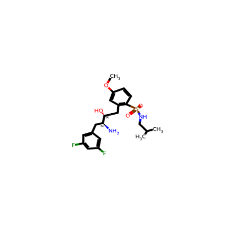 COc1ccc(S(=O)(=O)NCC(C)C)c(C[C@@H](O)[C@@H](N)Cc2cc(F)cc(F)c2)c1